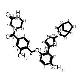 Cc1ccc(OCc2ccc(C(=O)N3CCNC(=O)C3)cc2C)c(-c2csc(N3CC4CCC(C4)C3)n2)c1